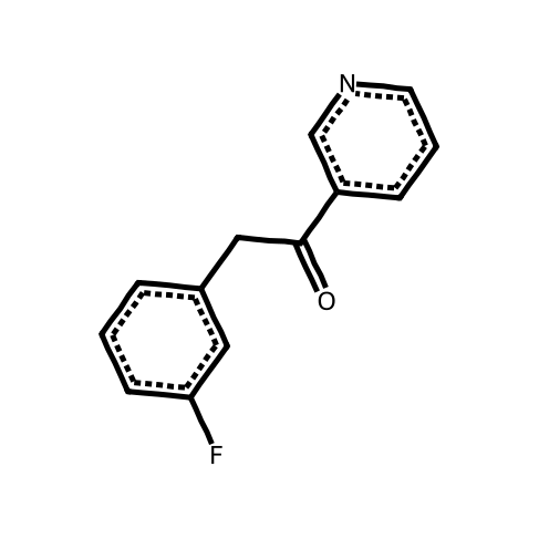 O=C(Cc1cccc(F)c1)c1cccnc1